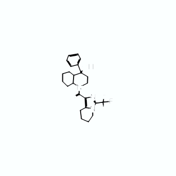 O=C(c1nc(C(F)(F)F)n2c1CCCC2)N1CCC(O)(c2ccccc2)C2CCCCC21